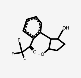 O=C(c1ccccc1C1C(O)CCC1O)C(F)(F)F